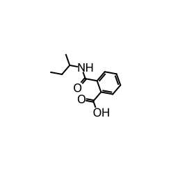 CCC(C)NC(=O)c1ccccc1C(=O)O